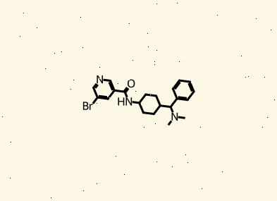 CN(C)C(c1ccccc1)C1CCC(NC(=O)c2cncc(Br)c2)CC1